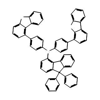 c1ccc(C2(c3ccccc3)c3ccccc3-c3c(N(c4ccc(-c5cccc6c5sc5ccccc56)cc4)c4ccc(-c5cccc6oc7ccccc7c56)cc4)cccc32)cc1